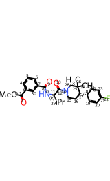 COC(=O)c1cccc(C(=O)N[C@@H](C(=O)N2CC[C@@H](C3C=CC(F)=CC3)C(C)(C)C2)C(C)C)c1